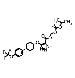 CC(C)OC(=O)OCOC(=O)c1[nH]nnc1O[C@H]1CC[C@H](c2ccc(OC(F)(F)F)cc2)CC1